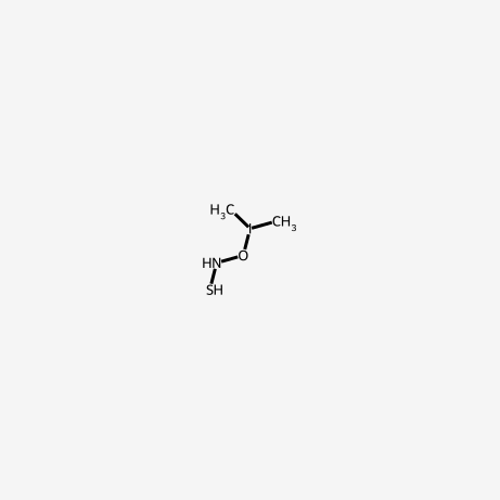 CI(C)ONS